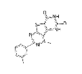 Cc1cccc(-c2nc(C)c3c(n2)sc2c(=O)[nH]c(=O)[nH]c23)c1